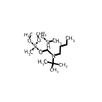 CCCCN(C(O[Si](C)(OC)OC)[SiH](C)C)C(C)(C)C